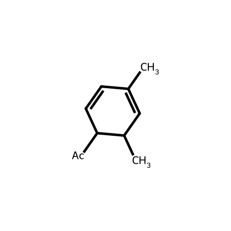 CC(=O)C1C=CC(C)=CC1C